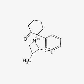 CC1CN([C@@]2(c3ccccc3)CCCCC2=O)C1C